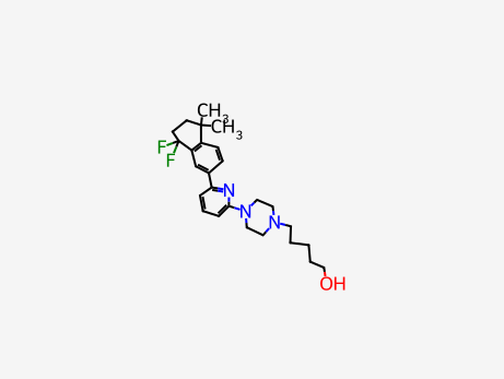 CC1(C)CCC(F)(F)c2cc(-c3cccc(N4CCN(CCCCCO)CC4)n3)ccc21